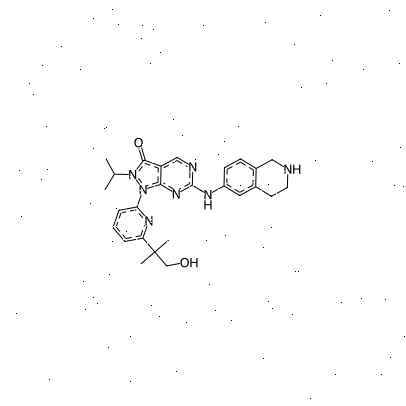 CC(C)n1c(=O)c2cnc(Nc3ccc4c(c3)CCNC4)nc2n1-c1cccc(C(C)(C)CO)n1